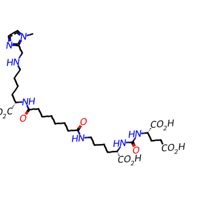 Cn1ccnc1CNCCCC[C@H](NC(=O)CCCCCCC(=O)NCCCC[C@H](NC(=O)N[C@@H](CCC(=O)O)C(=O)O)C(=O)O)C(=O)O